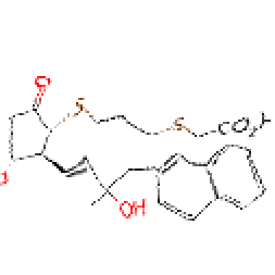 CC(O)(/C=C/[C@H]1[C@H](O)CC(=O)[C@@H]1SCCCSCC(=O)O)Cc1ccc2ccccc2c1